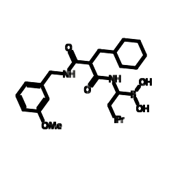 COc1cccc(CNC(=O)C(CC2CCCCC2)C(=O)NC(CC(C)C)B(O)O)c1